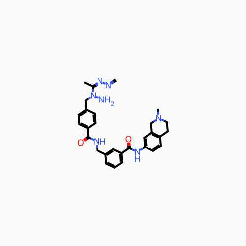 C=N/N=C(/C)N(N)Cc1ccc(C(=O)NCc2cccc(C(=O)Nc3ccc4c(c3)CN(C)CC4)c2)cc1